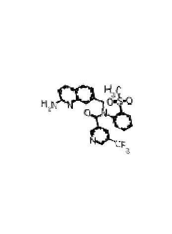 CS(=O)(=O)c1ccccc1N(Cc1ccc2ccc(N)nc2c1)C(=O)c1cncc(C(F)(F)F)c1